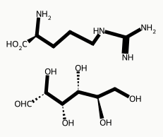 N=C(N)NCCC[C@H](N)C(=O)O.O=C[C@H](O)[C@@H](O)[C@H](O)[C@H](O)CO